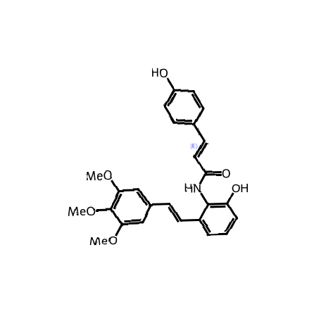 COc1cc(C=Cc2cccc(O)c2NC(=O)/C=C/c2ccc(O)cc2)cc(OC)c1OC